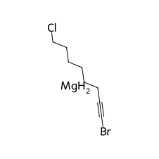 ClCCCCCCC#CBr.[MgH2]